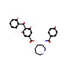 O=C(N[C@@H]1CNCCC[C@H]1OC(=O)c1cc(O)c(C(=O)c2c(O)cccc2C(=O)O)c(O)c1)c1ccc(O)cc1.[PbH2]